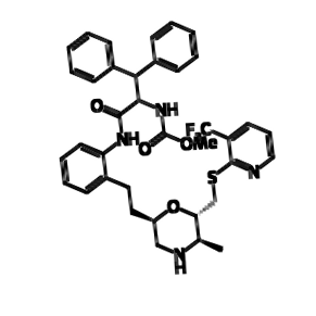 COC(=O)NC(C(=O)Nc1ccccc1CC[C@@H]1CN[C@H](C)[C@@H](CSc2ncccc2C(F)(F)F)O1)C(c1ccccc1)c1ccccc1